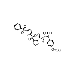 CC(C)(C)Oc1ccc(C[C@H](NC(=O)[C@@H]2CCCN2S(=O)(=O)c2ccc(S(=O)(=O)c3ccccc3)s2)C(=O)O)cc1